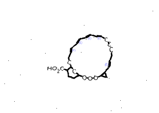 O=C(O)C1CCC2CC1CC/C=C/C=C/C=C/C=C/CCCC/C=C/C1CC1OOO2